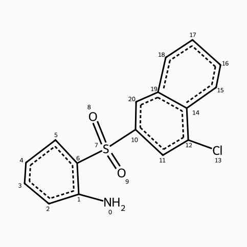 Nc1ccccc1S(=O)(=O)c1cc(Cl)c2ccccc2c1